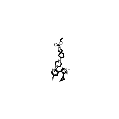 CCOC(=O)N1CC2(CC[C@@H](N3CCN(c4ncc(F)cc4-c4c[nH]nc4C4CC4)CC3)C2)C1